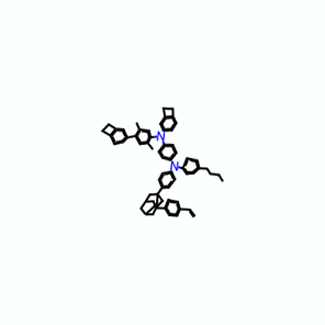 C=Cc1ccc(C23CC4CC(C2)CC(c2ccc(N(c5ccc(CCCC)cc5)c5ccc(N(c6ccc7c(c6)CC7)c6cc(C)c(-c7ccc8c(c7)CC8)cc6C)cc5)cc2)(C4)C3)cc1